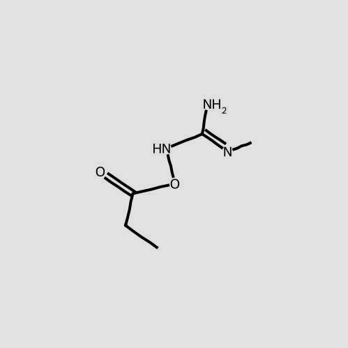 CCC(=O)ONC(N)=NC